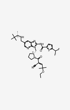 CCOC(C)(C)C=C(C#N)C(=O)N1CCC[C@@H]1Cn1c(NC(=O)c2ccc(C(F)F)s2)nc2cc(CN[C@@H](C)C(C)(C)C)cnc21